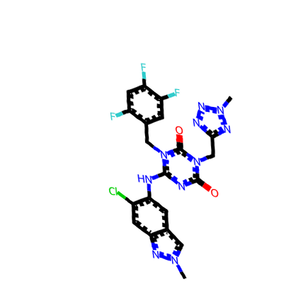 Cn1cc2cc(Nc3nc(=O)n(Cc4nnn(C)n4)c(=O)n3Cc3cc(F)c(F)cc3F)c(Cl)cc2n1